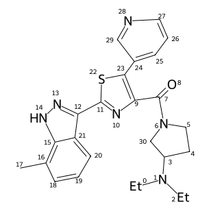 CCN(CC)C1CCN(C(=O)c2nc(-c3n[nH]c4c(C)cccc34)sc2-c2cccnc2)C1